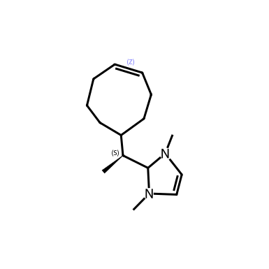 C[C@@H](C1CC/C=C\CCC1)C1N(C)C=CN1C